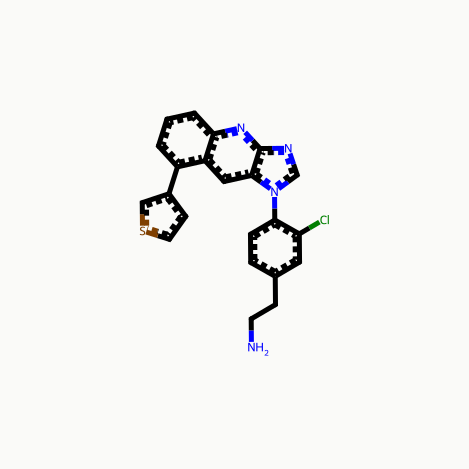 NCCc1ccc(-n2cnc3nc4cccc(-c5ccsc5)c4cc32)c(Cl)c1